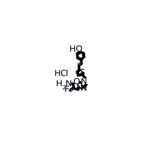 Cl.NC/C(=C\F)Cn1ncn(Cc2ccc(/C=C/c3ccc(O)cc3)s2)c1=O